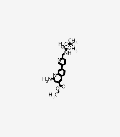 CCOC(=O)C1=Cc2ccc(-c3ccc(CNC(=O)OC(C)(C)C)nc3)cc2N=C(N)C1